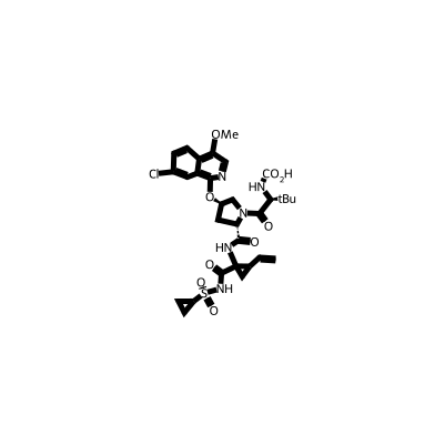 C=CC1CC1(NC(=O)[C@@H]1C[C@@H](Oc2ncc(OC)c3ccc(Cl)cc23)CN1C(=O)[C@@H](NC(=O)O)C(C)(C)C)C(=O)NS(=O)(=O)C1CC1